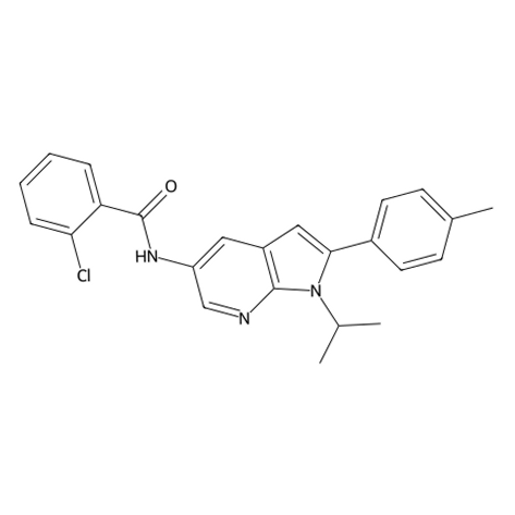 Cc1ccc(-c2cc3cc(NC(=O)c4ccccc4Cl)cnc3n2C(C)C)cc1